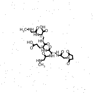 CNCC(=O)N[C@@H](CNC(=O)[C@H](CCC(=O)O)NC(=O)[C@H](CNC(=O)CN1C(=O)CCC1=O)NC(=O)CNC)C(=O)O